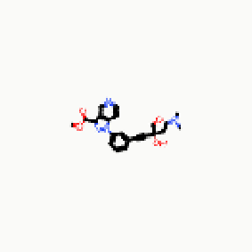 COC(=O)c1nn(-c2cccc(C#C[C@@](O)(C=O)CCN(C)C)c2)c2ccncc12